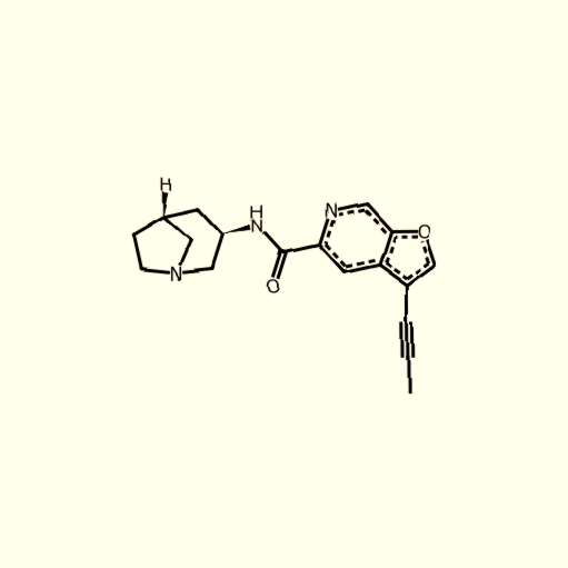 CC#Cc1coc2cnc(C(=O)N[C@@H]3C[C@H]4CCN(C4)C3)cc12